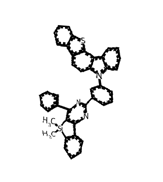 C[Si]1(C)c2ccccc2-c2nc(-c3cccc(-n4c5ccccc5c5c6sc7ccccc7c6ccc54)c3)nc(-c3ccccc3)c21